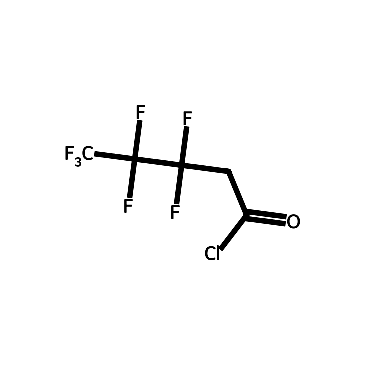 O=C(Cl)CC(F)(F)C(F)(F)C(F)(F)F